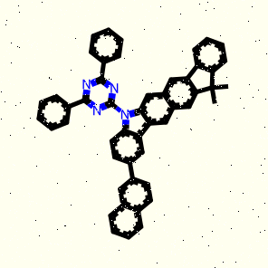 CC1(C)c2ccccc2-c2cc3cc4c(cc3cc21)c1cc(-c2ccc3ccccc3c2)ccc1n4-c1nc(-c2ccccc2)nc(-c2ccccc2)n1